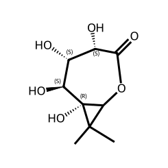 CC1(C)C2OC(=O)[C@@H](O)[C@@H](O)[C@H](O)[C@@]21O